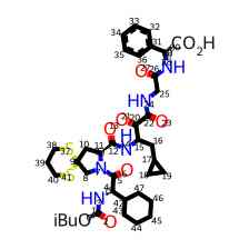 CC(C)COC(=O)N[C@H](C(=O)N1CC2(C[C@H]1C(=O)NC(CC1CC1)C(=O)C(=O)NCC(=O)N[C@H](C(=O)O)c1ccccc1)SCCCS2)C1CCCCC1